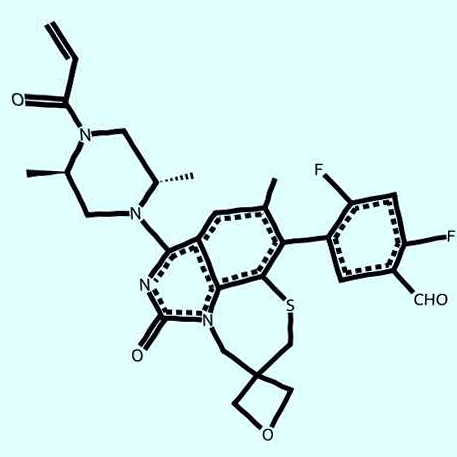 C=CC(=O)N1C[C@H](C)N(c2nc(=O)n3c4c(c(-c5cc(C=O)c(F)cc5F)c(C)cc24)SCC2(COC2)C3)C[C@H]1C